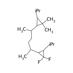 CC(C)C1C(C(C)CCC(C)C2C(C(C)C)C2(F)F)C1(C)C